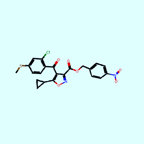 CSc1ccc(C(=O)c2c(C(=O)OCc3ccc([N+](=O)[O-])cc3)noc2C2CC2)c(Cl)c1